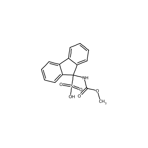 COC(=O)NC1(S(=O)(=O)O)c2ccccc2-c2ccccc21